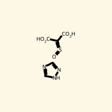 O=S=C(C(=O)O)C(=O)O.c1nc[nH]n1